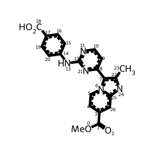 COC(=O)c1ccn2c(-c3ccnc(Nc4ccc(C(=O)O)cc4)n3)c(C)nc2c1